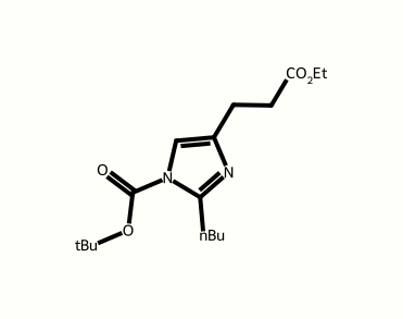 CCCCc1nc(CCC(=O)OCC)cn1C(=O)OC(C)(C)C